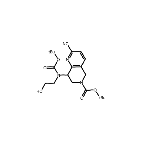 CC(C)(C)OC(=O)N1Cc2ccc(C#N)nc2C(N(CCO)C(=O)OC(C)(C)C)C1